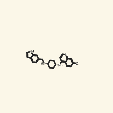 Clc1ccc2c(N[C@H]3CC[C@@H](NCc4ccc5cc[nH]c5c4)CC3)ccnc2c1